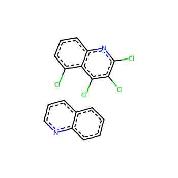 Clc1nc2cccc(Cl)c2c(Cl)c1Cl.c1ccc2ncccc2c1